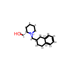 OC[C@@H]1CCCCN1CC1CCc2ccccc2C1